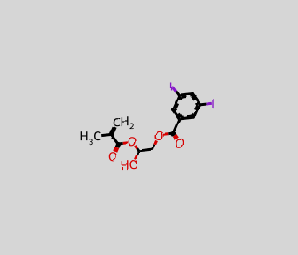 C=C(C)C(=O)OC(O)COC(=O)c1cc(I)cc(I)c1